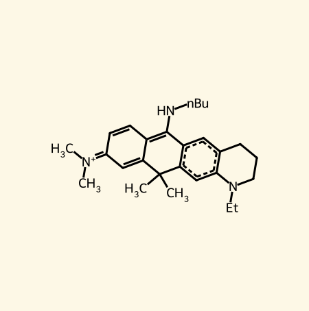 CCCCNC1=C2C=CC(=[N+](C)C)C=C2C(C)(C)c2cc3c(cc21)CCCN3CC